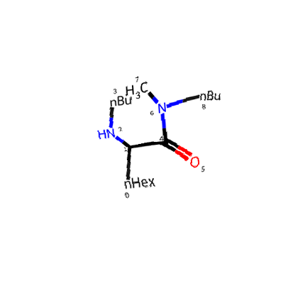 CCCCCCC(NCCCC)C(=O)N(C)CCCC